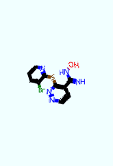 N=C(NO)c1ccnnc1Sc1ncccc1Br